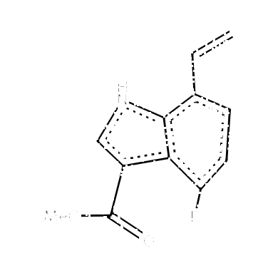 C=Cc1ccc(F)c2c(C(=O)OC)c[nH]c12